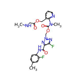 CNCC(=O)OCc1cccnc1N(C)C(=O)OCn1nc(F)c(C(=O)Nc2ccc(C)cc2F)n1